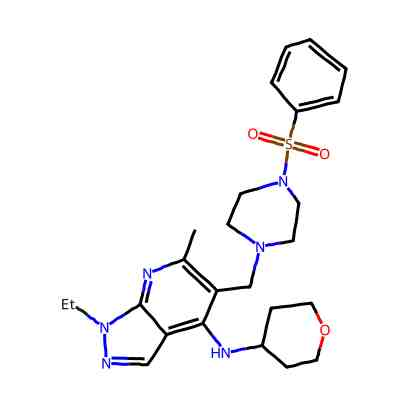 CCn1ncc2c(NC3CCOCC3)c(CN3CCN(S(=O)(=O)c4ccccc4)CC3)c(C)nc21